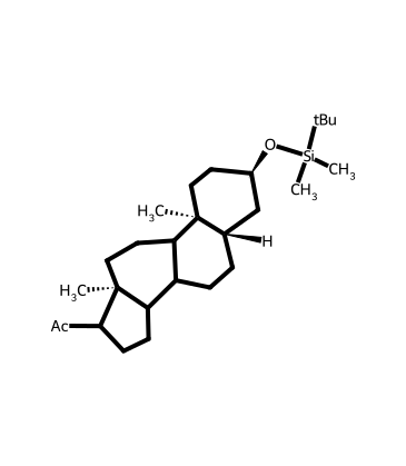 CC(=O)C1CCC2C3CC[C@H]4C[C@H](O[Si](C)(C)C(C)(C)C)CC[C@]4(C)C3CC[C@]12C